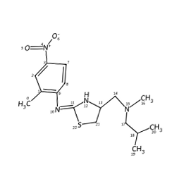 Cc1cc([N+](=O)[O-])ccc1N=C1NC(CN(C)CC(C)C)CS1